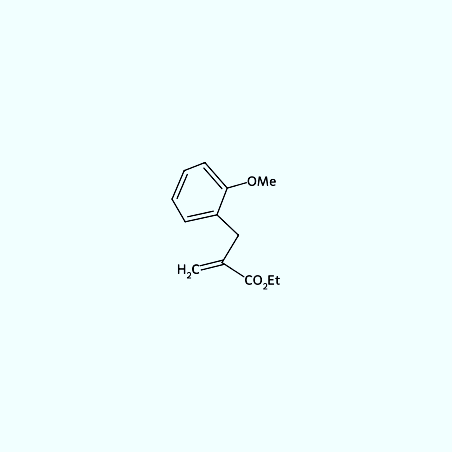 C=C(Cc1ccccc1OC)C(=O)OCC